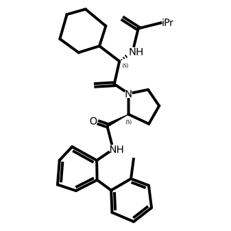 C=C(N[C@H](C(=C)N1CCC[C@H]1C(=O)Nc1ccccc1-c1ccccc1C)C1CCCCC1)C(C)C